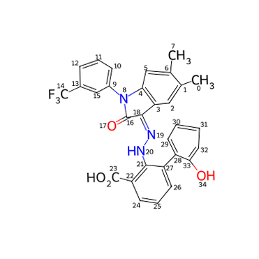 Cc1cc2c(cc1C)N(c1cccc(C(F)(F)F)c1)C(=O)/C2=N\Nc1c(C(=O)O)cccc1-c1ccccc1O